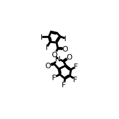 O=C(ON1C(=O)c2c(F)c(F)c(F)c(F)c2C1=O)c1c(I)ccc(I)c1I